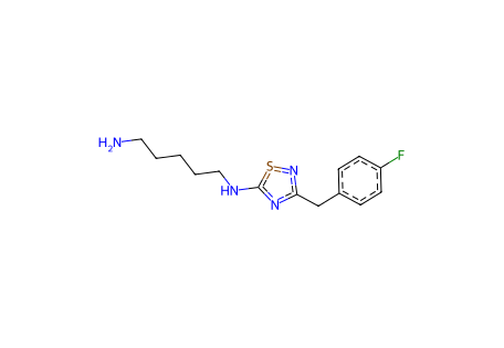 NCCCCCNc1nc(Cc2ccc(F)cc2)ns1